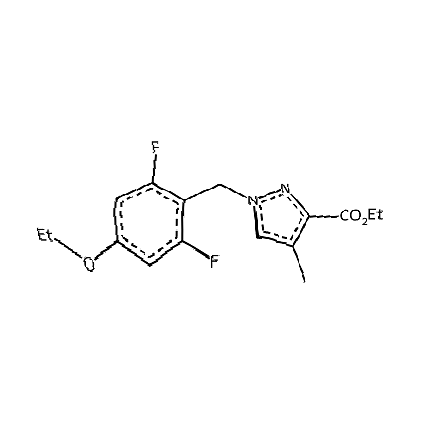 CCOC(=O)c1nn(Cc2c(F)cc(OCC)cc2F)cc1C